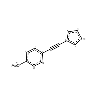 COc1ccc(C#Cc2ccsc2)cc1